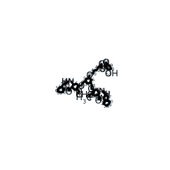 COc1cc2c(cc1OCc1cc(COc3cc4c(cc3OC)C(=O)N3c5ccccc5C[C@H]3C=N4)cc(OCCCCC(=O)ON3C(=O)CCC3O)c1)N=C[C@@H]1Cc3ccccc3N1C2=O